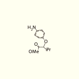 COC(=O)C(Oc1ccc(N)cc1)C(C)C